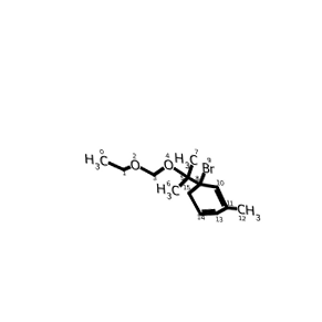 CCOCOC(C)(C)C1(Br)C=C(C)C=CC1